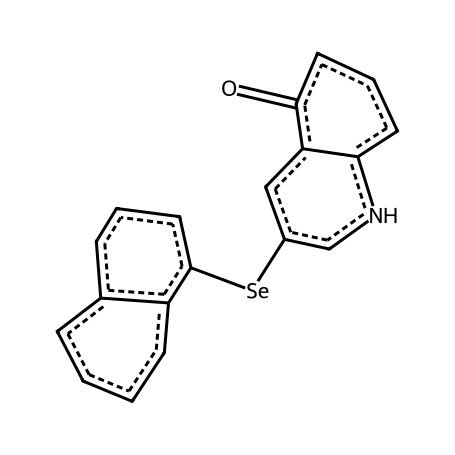 O=c1cccc2[nH]cc([Se]c3cccc4ccccc34)cc1-2